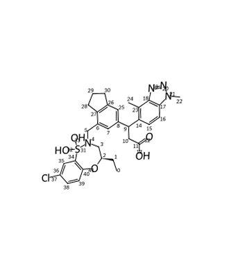 CC[C@@H]1CN(Cc2cc(C(CC(=O)O)c3ccc4c(nnn4C)c3C)cc3c2CCC3)S(O)(O)c2cc(Cl)ccc2O1